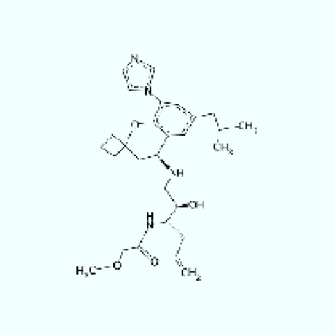 C=CC[C@H](NC(=O)COC)[C@H](O)CN[C@H]1CC2(CCC2)Oc2c1cc(CC(C)C)cc2-n1ccnc1